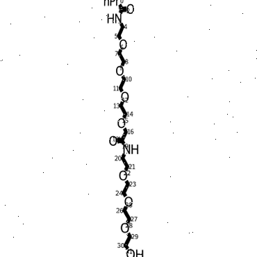 CCCC(=O)NCCOCCOCCOCCOCC(=O)NCCOCCOCCOCCO